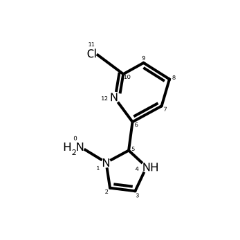 NN1C=CNC1c1cccc(Cl)n1